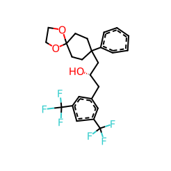 O[C@@H](Cc1cc(C(F)(F)F)cc(C(F)(F)F)c1)CC1(c2ccccc2)CCC2(CC1)OCCO2